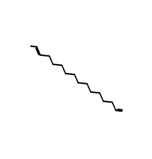 [CH2]C=CCCCCCCCCCCCC=C